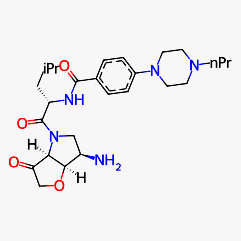 CCCN1CCN(c2ccc(C(=O)N[C@@H](CC(C)C)C(=O)N3C[C@@H](N)[C@H]4OCC(=O)[C@H]43)cc2)CC1